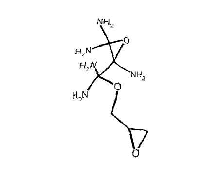 NC(N)(OCC1CO1)C1(N)OC1(N)N